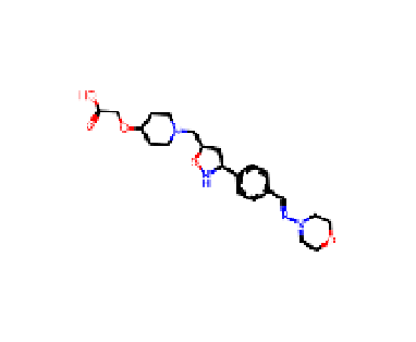 O=C(O)COC1CCN(CC2CC(c3ccc(C=NN4CCOCC4)cc3)NO2)CC1